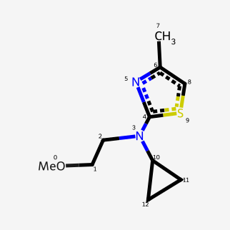 COCCN(c1nc(C)cs1)C1CC1